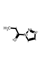 CCC(=O)n1ccnn1